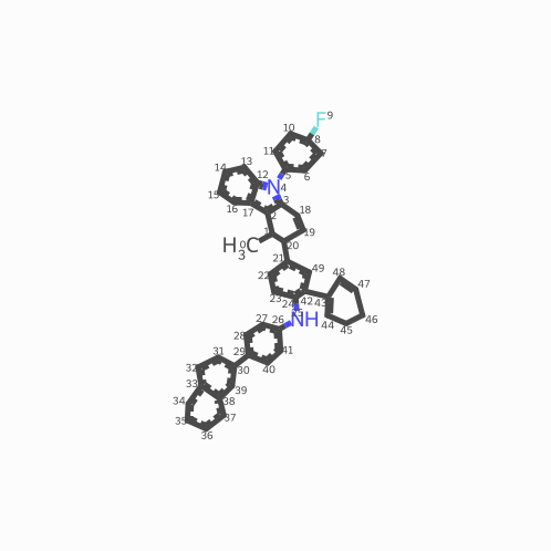 CC1c2c(n(-c3ccc(F)cc3)c3ccccc23)C=CC1c1ccc(Nc2ccc(-c3ccc4ccccc4c3)cc2)c(C2=CCCC=C2)c1